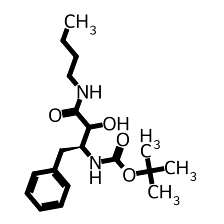 CCCCNC(=O)C(O)[C@H](Cc1ccccc1)NC(=O)OC(C)(C)C